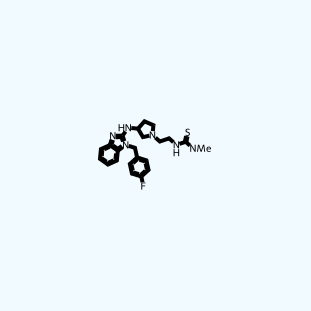 CNC(=S)NCCN1CCC(Nc2nc3ccccc3n2Cc2ccc(F)cc2)C1